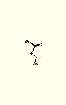 CCCC(=O)[N]NC(C)=O